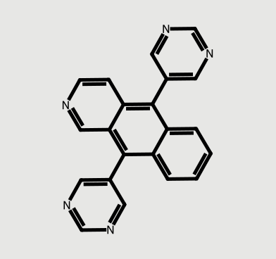 c1ccc2c(-c3cncnc3)c3cnccc3c(-c3cncnc3)c2c1